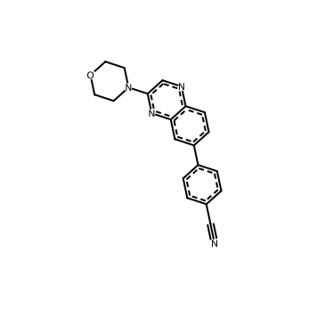 N#Cc1ccc(-c2ccc3ncc(N4CCOCC4)nc3c2)cc1